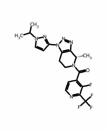 CC(C)n1ccc(-n2nnc3c2CCN(C(=O)c2ccnc(C(F)(F)F)c2F)[C@H]3C)n1